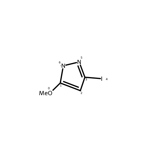 COC1=CC(I)=N[N]1